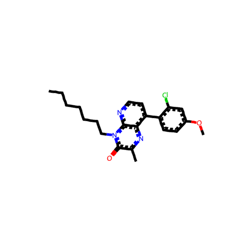 CCCCCCCn1c(=O)c(C)nc2c(-c3ccc(OC)cc3Cl)ccnc21